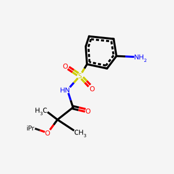 CC(C)OC(C)(C)C(=O)NS(=O)(=O)c1cccc(N)c1